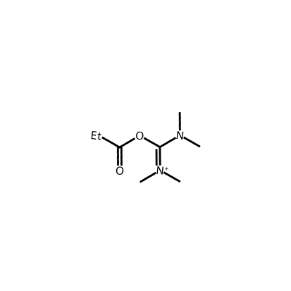 CCC(=O)OC(N(C)C)=[N+](C)C